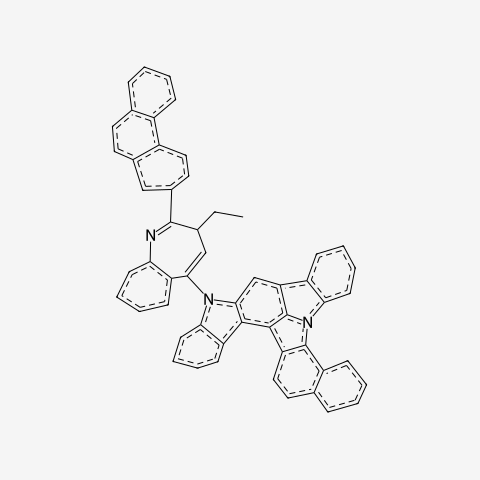 CCC1C=C(n2c3ccccc3c3c4c5ccc6ccccc6c5n5c6ccccc6c(cc32)c45)c2ccccc2N=C1c1ccc2c(ccc3ccccc32)c1